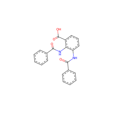 O=C(Nc1cccc(C(=O)O)c1NC(=O)c1ccccc1)c1ccccc1